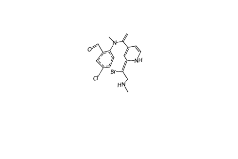 C=C(C1=C/C(=C(\Br)CNC)NC=C1)N(C)c1ccc(Cl)cc1C=O